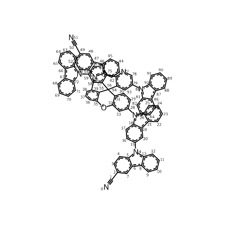 N#Cc1ccc2c(c1)c1ccccc1n2-c1ccc2c(c1)c1ccccc1n2-c1ccc2c(c1)Oc1cccc(-n3c4ccccc4c4cc(C#N)ccc43)c1C21c2cc(-n3c4ccccc4c4ccccc43)cnc2-c2ncc(-n3c4ccccc4c4ccccc43)cc21